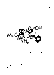 COc1nc(N)nc2c1ncn2[C@@H]1O[C@H](CO)[C@@H](OC(=O)c2ccccc2)[C@@H]1O